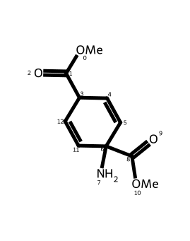 COC(=O)C1C=CC(N)(C(=O)OC)C=C1